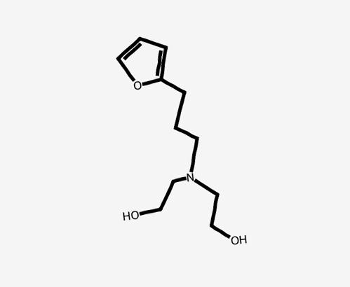 OCCN(CCO)CCCc1ccco1